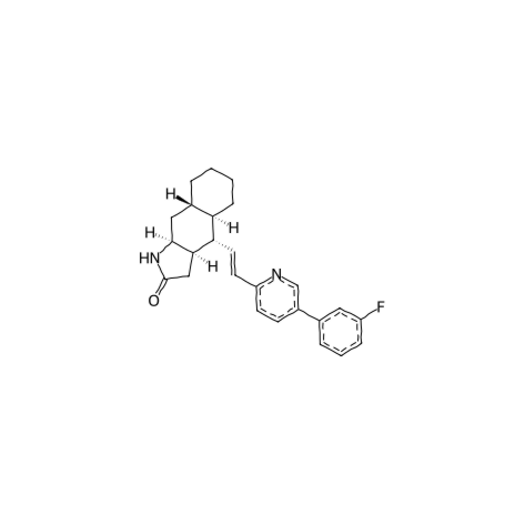 O=C1C[C@@H]2[C@@H](/C=C/c3ccc(-c4cccc(F)c4)cn3)[C@@H]3CCCC[C@H]3C[C@@H]2N1